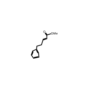 COC(=O)C=CCCc1ccccc1